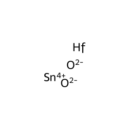 [Hf].[O-2].[O-2].[Sn+4]